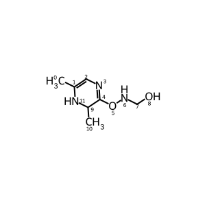 CC1=CN=C(ONCO)C(C)N1